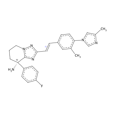 Cc1cn(-c2ccc(/C=C/c3nc4n(n3)CCC[C@]4(N)c3ccc(F)cc3)cc2C)cn1